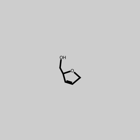 OCC1C=CCO1